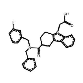 O=C(O)Cn1c2c(c3ccccc31)CC(C(=O)N(Cc1ccccc1)Cc1cccc(F)c1)CC2